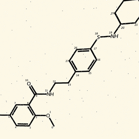 COc1ccc(Cl)cc1C(=O)NCCc1ccc(SNC2CCCCC2)cc1